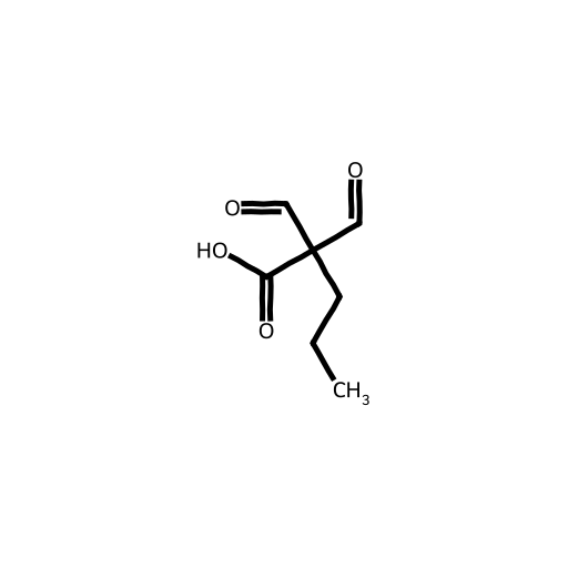 CCCC(C=O)(C=O)C(=O)O